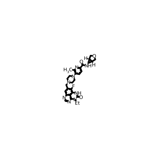 CCN1C(=O)Nc2c(F)c(CN3CCN(c4ccc(C(=O)N[C@@H]5[C@@H]6COC[C@@H]65)nc4C)CC3)cc3ncnc1c23